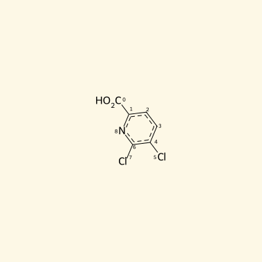 O=C(O)c1ccc(Cl)c(Cl)n1